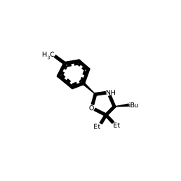 CCC(C)[C@@H]1N[C@H](c2ccc(C)cc2)OC1(CC)CC